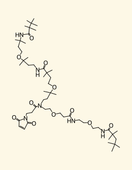 CC(C)(C)CC(C)(C)C(=O)NCCOCCNC(=O)CCOCCN(CCC(C)(C)OCCC(C)(C)C(=O)NCCC(C)(C)OCCC(C)(C)NC(=O)C(C)(C)C(C)(C)C)C(=O)CCN1C(=O)C=CC1=O